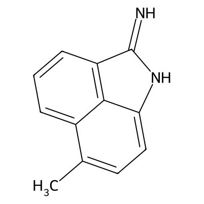 Cc1ccc2c3c(cccc13)C(=N)N2